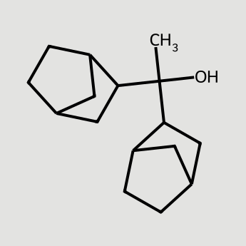 CC(O)(C1CC2CCC1C2)C1CC2CCC1C2